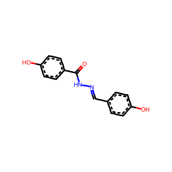 O=C(NN=Cc1ccc(O)cc1)c1ccc(O)cc1